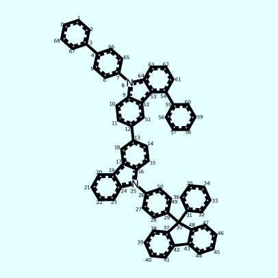 c1ccc(-c2ccc(-n3c4ccc(-c5ccc6c(c5)c5ccccc5n6-c5ccc(C6(c7ccccc7)c7ccccc7-c7ccccc76)cc5)cc4c4c(-c5ccccc5)cccc43)cc2)cc1